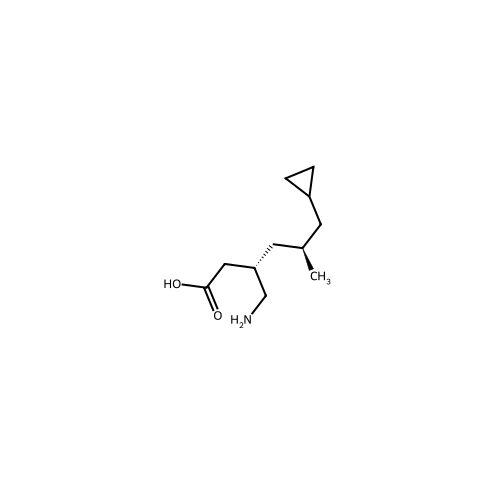 C[C@H](CC1CC1)C[C@H](CN)CC(=O)O